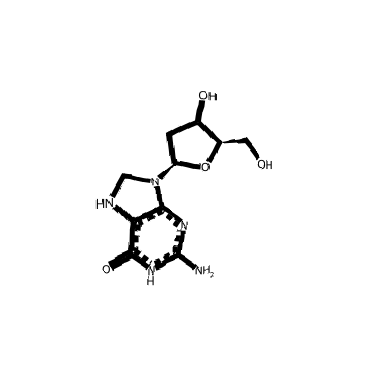 Nc1nc2c(c(=O)[nH]1)NCN2[C@H]1CC(O)[C@@H](CO)O1